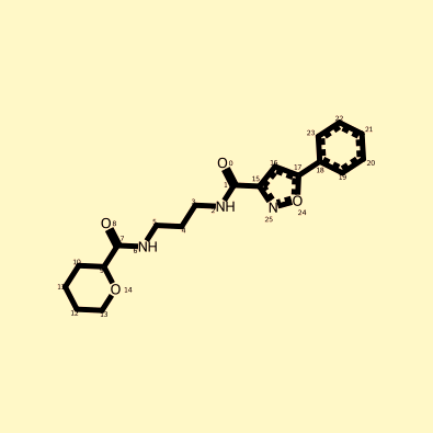 O=C(NCCCNC(=O)C1CCCCO1)c1cc(-c2ccccc2)on1